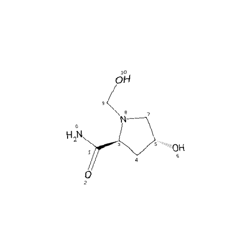 NC(=O)[C@@H]1C[C@@H](O)CN1CO